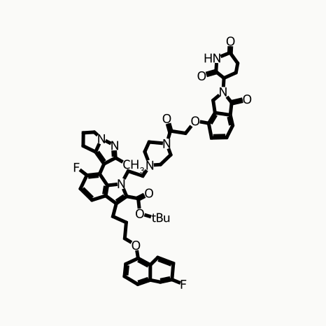 Cc1nn2c(c1-c1c(F)ccc3c(CCCOc4cccc5cc(F)ccc45)c(C(=O)OC(C)(C)C)n(CCN4CCN(C(=O)COc5cccc6c5CN(C5CCC(=O)NC5=O)C6=O)CC4)c13)CCC2